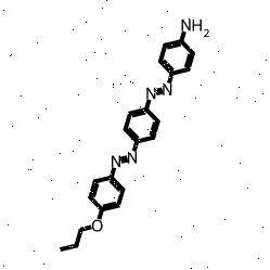 CCCOc1ccc(N=Nc2ccc(N=Nc3ccc(N)cc3)cc2)cc1